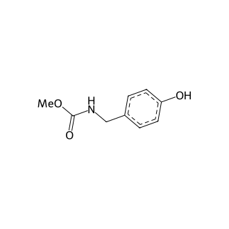 COC(=O)NCc1ccc(O)cc1